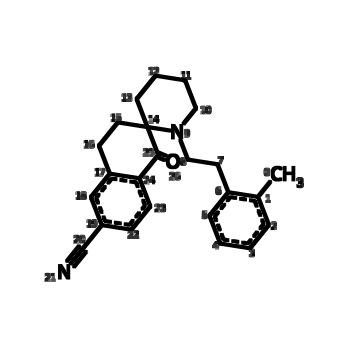 Cc1ccccc1CCN1CCCCC12CCc1cc(C#N)ccc1C2=O